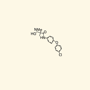 CN[C@@](C)(CO)C(=O)Nc1ccc(Oc2ccc(Cl)cc2)cc1